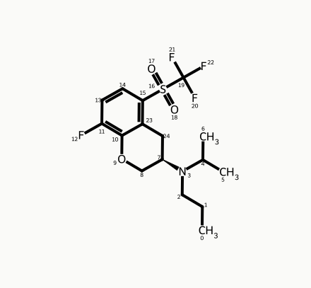 CCCN(C(C)C)[C@H]1COc2c(F)ccc(S(=O)(=O)C(F)(F)F)c2C1